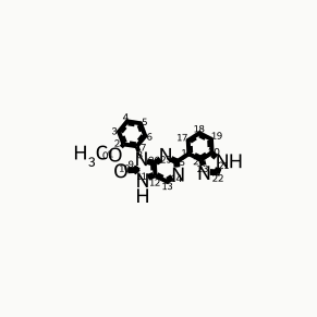 COc1ccccc1-n1c(=O)[nH]c2cnc(-c3cccc4[nH]cnc34)nc21